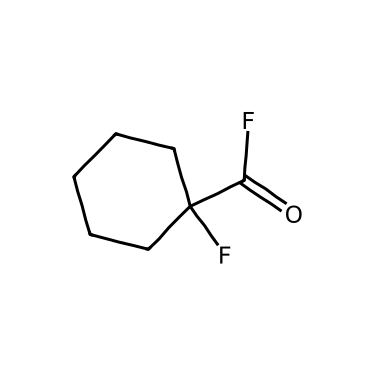 O=C(F)C1(F)CCCCC1